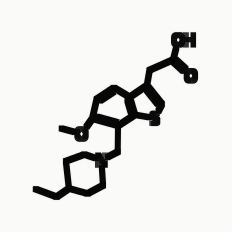 CCC1CCN(Cc2c(OC)ccc3c(CC(=O)O)csc23)CC1